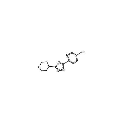 CC(C)c1ccc(-c2nnc(C3CCOCC3)o2)nc1